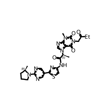 CCC(=O)Cn1c(=O)c2c(ncn2[C@@H](C)C(=O)Nc2csc(-c3cnc(N4CCC[C@H]4C)nc3)n2)n(C)c1=O